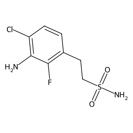 Nc1c(Cl)ccc(CCS(N)(=O)=O)c1F